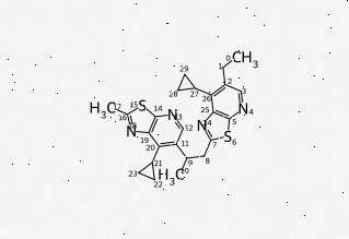 CCc1cnc2sc(CC(C)c3cnc4sc(C)nc4c3C3CC3)nc2c1C1CC1